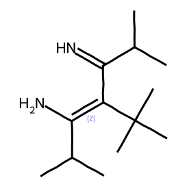 CC(C)C(=N)/C(=C(\N)C(C)C)C(C)(C)C